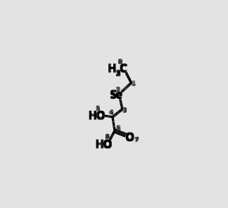 CC[Se]CC(O)C(=O)O